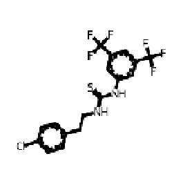 FC(F)(F)c1cc(NC(=S)NCCc2ccc(Cl)cc2)cc(C(F)(F)F)c1